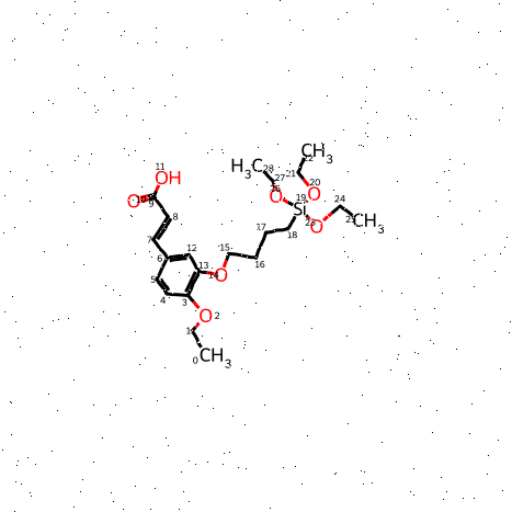 CCOc1ccc(/C=C/C(=O)O)cc1OCCCC[Si](OCC)(OCC)OCC